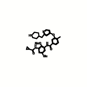 COc1c(NC(=O)c2ccc(C)c(Oc3ccnc(CC4CCNCC4)c3)c2)cc(C(C)(C)C)cc1NC(=O)C1CC1